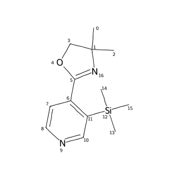 CC1(C)COC(c2ccncc2[Si](C)(C)C)=N1